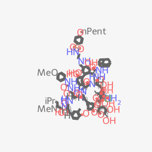 CCCCCOc1ccc(S(=O)(=O)NCCNCc2c(O)cc3c(c2O)-c2cc(ccc2O)[C@H]2NC(=O)[C@@H]4NC(=O)[C@H](CC(=O)NC(=O)Nc5ccc(OC)cc5)NC(=O)[C@H](NC(=O)[C@@H](CC(C)C)NC)[C@H](O)c5ccc(c(C)c5)Oc5cc4cc(c5O[C@@H]4O[C@H](CO)[C@@H](O)[C@H](O)[C@H]4O[C@H]4C[C@](C)(N)[C@H](O)[C@H](C)O4)Oc4ccc(cc4Cl)[C@@H](O)[C@H](NC2=O)C(=O)N[C@@H]3C(=O)NC2C3CC4CC(C3)CC2C4)cc1